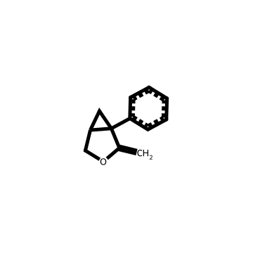 C=C1OCC2CC12c1ccccc1